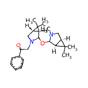 CN1C[C@@H]2[C@H](C1OC1[C@@H]3[C@H](CN1CC(=O)c1ccccc1)C3(C)C)C2(C)C